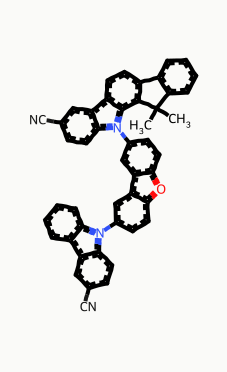 CC1(C)c2ccccc2-c2ccc3c4cc(C#N)ccc4n(-c4ccc5oc6ccc(-n7c8ccccc8c8cc(C#N)ccc87)cc6c5c4)c3c21